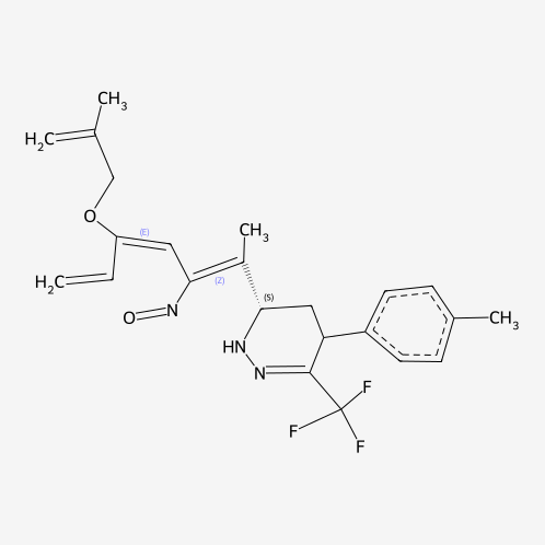 C=C/C(=C\C(N=O)=C(/C)[C@@H]1CC(c2ccc(C)cc2)C(C(F)(F)F)=NN1)OCC(=C)C